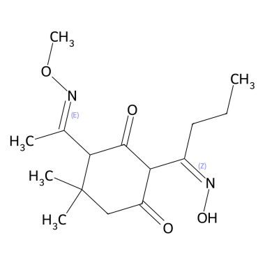 CCC/C(=N/O)C1C(=O)CC(C)(C)C(/C(C)=N/OC)C1=O